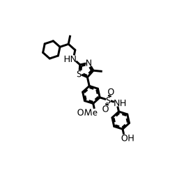 COc1ccc(-c2sc(NCC(C)C3CCCCC3)nc2C)cc1S(=O)(=O)Nc1ccc(O)cc1